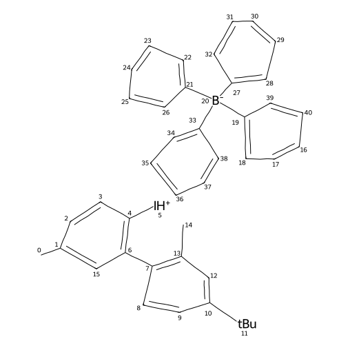 Cc1ccc([IH+])c(-c2ccc(C(C)(C)C)cc2C)c1.c1ccc([B-](c2ccccc2)(c2ccccc2)c2ccccc2)cc1